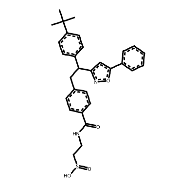 CC(C)(C)c1ccc(C(Cc2ccc(C(=O)NCCS(=O)O)cc2)c2cc(-c3ccccc3)on2)cc1